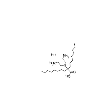 CCCCCCCCC(CCCCCCCC)(C(=O)O)N(CCN)CCN.Cl